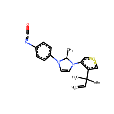 C=CC(C)(CCCC)c1cscc1N1C=CN(c2ccc(N=C=O)cc2)[C@H]1C